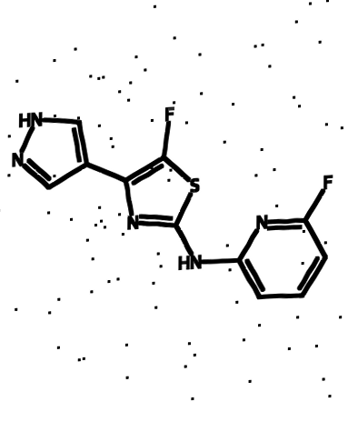 Fc1cccc(Nc2nc(-c3cn[nH]c3)c(F)s2)n1